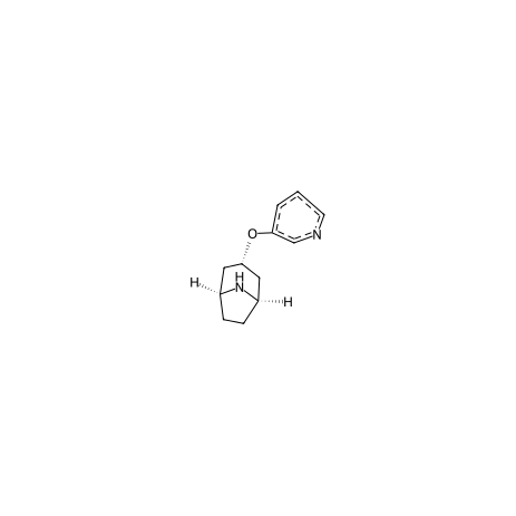 c1cncc(O[C@@H]2C[C@H]3CC[C@@H](C2)N3)c1